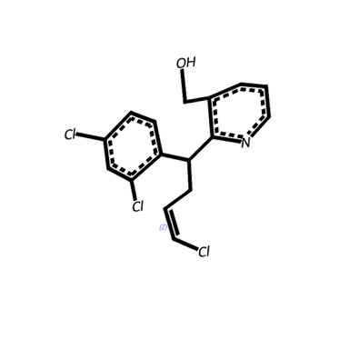 OCc1cccnc1C(C/C=C\Cl)c1ccc(Cl)cc1Cl